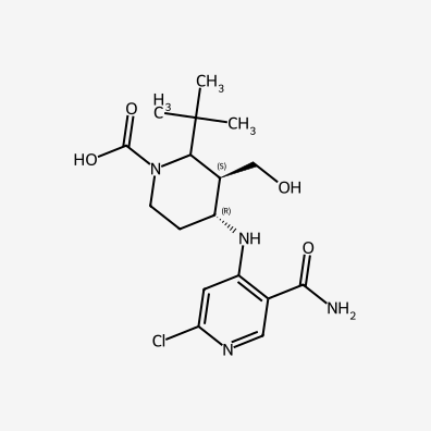 CC(C)(C)C1[C@@H](CO)[C@H](Nc2cc(Cl)ncc2C(N)=O)CCN1C(=O)O